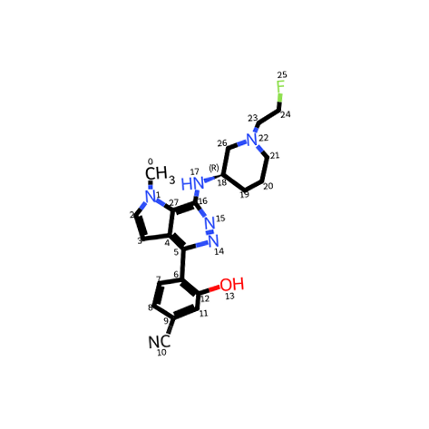 Cn1ccc2c(-c3ccc(C#N)cc3O)nnc(N[C@@H]3CCCN(CCF)C3)c21